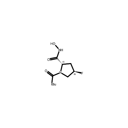 CC(C)(C)C(=O)N1C[C@H](F)C[C@H]1C(=O)NO